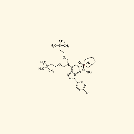 CC(=O)c1ccc(-c2cnn3c(N(COCC[Si](C)(C)C)COCC[Si](C)(C)C)cc(C4CC5CCC(C4)N5C(=O)OC(C)(C)C)nc23)cn1